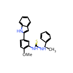 COc1ccc(-c2cc3ccccc3[nH]2)cc1NC(=S)N[C@H](C)c1ccccc1